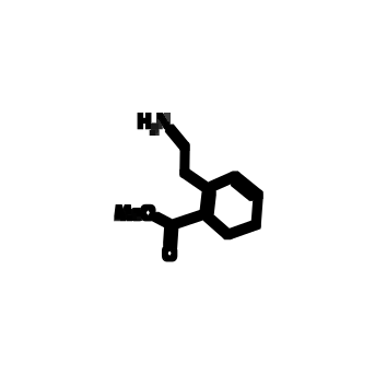 COC(=O)C1=C(CCN)C=CCC1